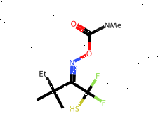 CCC(C)(C)C(=NOC(=O)NC)C(F)(F)S